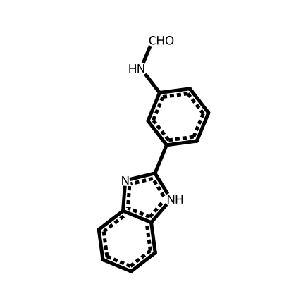 O=CNc1cccc(-c2nc3ccccc3[nH]2)c1